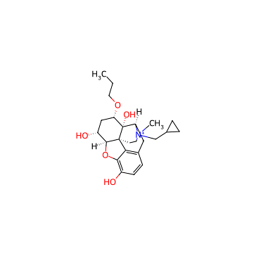 CCCO[C@H]1C[C@@H](O)[C@@H]2Oc3c(O)ccc4c3[C@@]23CC[N+](C)(CC2CC2)[C@H](C4)[C@]13O